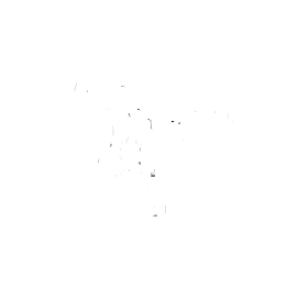 CCN1CCC(c2cc(C(C)(C)C)sc2C(=O)OC)=C(C2CCC(C)CC2)C1